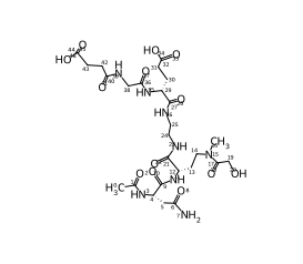 CC(=O)N[C@@H](CC(N)=O)C(=O)N[C@@H](CCN(C)C(=O)CO)C(=O)NCCNC(=O)[C@@H](CCC(=O)O)NC(=O)CNC(=O)CCC(=O)O